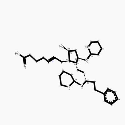 O=C(O)CCC/C=C/C[C@@H]1[C@@H](CC[C@H](CCc2ccccc2)OC2CCCCO2)[C@H](OC2CCCCO2)C[C@@H]1O